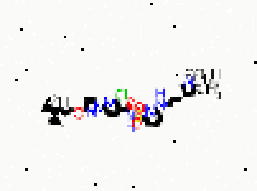 [2H]C1(CCOc2ccn(-c3ccc(C(=O)NS(=O)(=O)c4cccc(NCCC[C@@H]5CN(C(=O)O)C(C)(C)C5)n4)c(Cl)n3)n2)C2(CC2)C12CC2